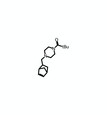 CC(C)(C)C(=O)N1CCN(CC2CC3C=CC2C3)CC1